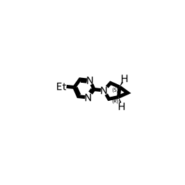 CCc1cnc(N2C[C@H]3C[C@H]3C2)nc1